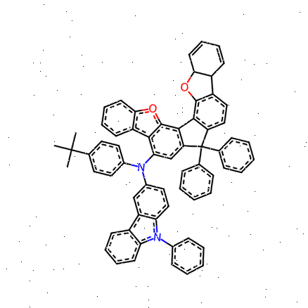 CC(C)(C)c1ccc(N(c2ccc3c(c2)c2ccccc2n3-c2ccccc2)c2cc3c(c4oc5ccccc5c24)-c2c(ccc4c2OC2C=CC=CC42)C3(c2ccccc2)c2ccccc2)cc1